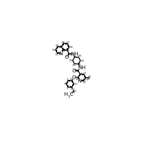 CSc1cccc(Oc2ncc(F)cc2C(=O)NC2CCC(NC(=O)c3cccc4cccnc34)CC2)c1